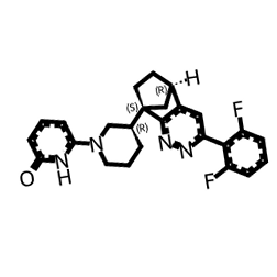 O=c1cccc(N2CCC[C@H]([C@]34CC[C@H](C3)c3cc(-c5c(F)cccc5F)nnc34)C2)[nH]1